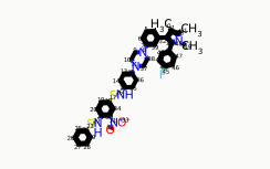 Cc1c(-c2cccc(N3CCN(C4=CC=C(NSc5ccc(NSc6ccccc6)c([N+](=O)[O-])c5)CC4)CC3)c2)c(-c2ccc(F)cc2)n(C)c1C